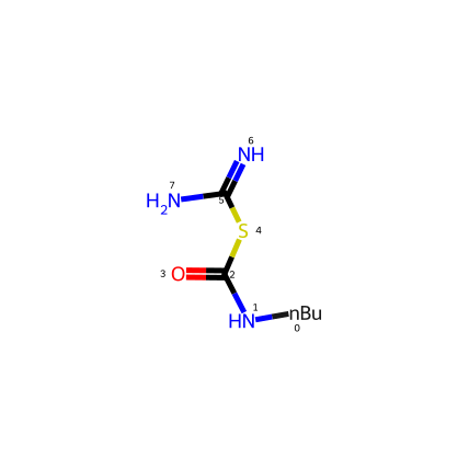 CCCCNC(=O)SC(=N)N